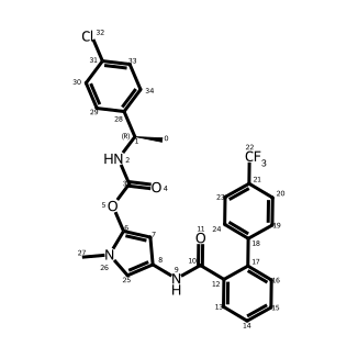 C[C@@H](NC(=O)Oc1cc(NC(=O)c2ccccc2-c2ccc(C(F)(F)F)cc2)cn1C)c1ccc(Cl)cc1